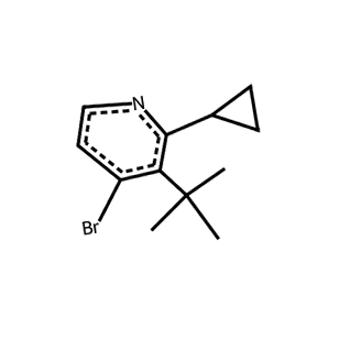 CC(C)(C)c1c(Br)ccnc1C1CC1